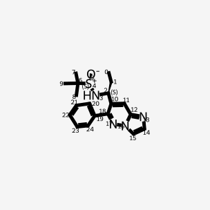 CC[C@H](N[S@+]([O-])C(C)(C)C)c1cc2nccn2nc1-c1ccccc1